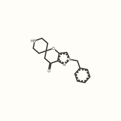 O=C1CC2(CCNCC2)Oc2cn(Cc3ccccc3)nc21